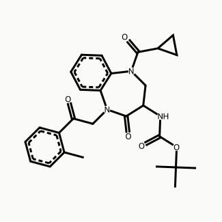 Cc1ccccc1C(=O)CN1C(=O)C(NC(=O)OC(C)(C)C)CN(C(=O)C2CC2)c2ccccc21